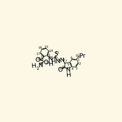 CC(C)c1ccc2c(c1)C(=NNC(=S)Nc1ccccc1S(N)(=O)=O)C(=O)N2